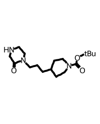 CC(C)(C)OC(=O)N1CCC(CCCN2CCNCC2=O)CC1